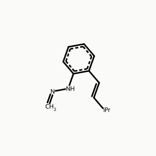 C=NNc1ccccc1/C=C/C(C)C